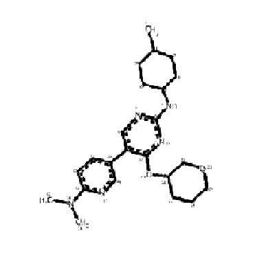 CC1CCC(Nc2ncc(-c3ccc(N(C)C)nc3)c(OC3CCCOC3)n2)CC1